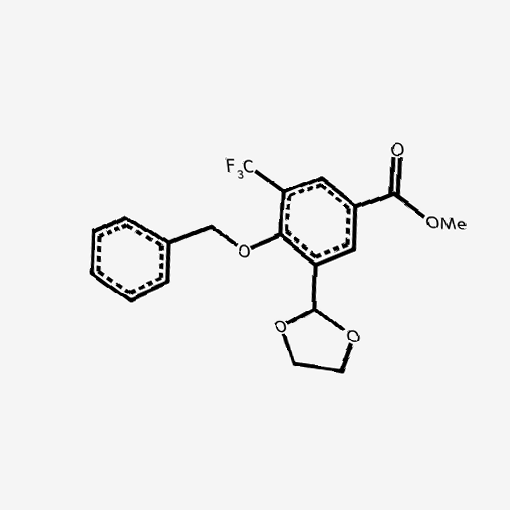 COC(=O)c1cc(C2OCCO2)c(OCc2ccccc2)c(C(F)(F)F)c1